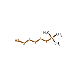 CS(C)(C)SSSSSS